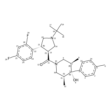 Cc1ccc([C@]2(O)[C@H](C)CN(C(=O)[C@@H]3CN(C(C)(C)C)C[C@H]3c3ccc(F)cc3F)C[C@@H]2C)cc1